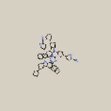 N#Cc1ccc(-c2ccc(-n3c4ccc(-c5ccccc5)cc4c4cc(-c5ccccc5)ccc43)c(-c3nc(-c4ccccc4)nc(-c4cc(-c5ccc(C#N)nc5)ccc4-n4c5ccc(-c6ccccc6)cc5c5cc(-c6ccccc6)ccc54)n3)c2)cn1